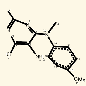 C=C(C)/N=C(\C(N)=C(/C)Cl)N(C)c1ccc(OC)cc1